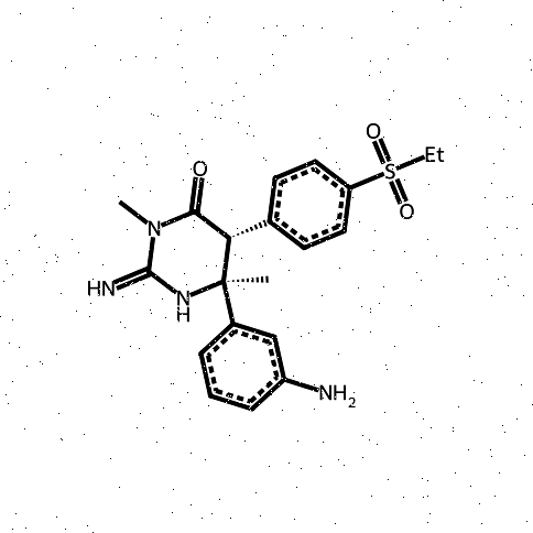 CCS(=O)(=O)c1ccc([C@H]2C(=O)N(C)C(=N)N[C@]2(C)c2cccc(N)c2)cc1